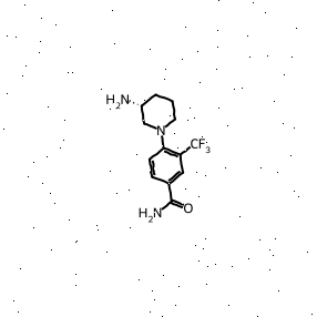 NC(=O)c1ccc(N2CCC[C@@H](N)C2)c(C(F)(F)F)c1